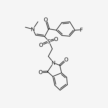 CN(C)C=C(C(=O)c1ccc(F)cc1)S(=O)(=O)CCN1C(=O)c2ccccc2C1=O